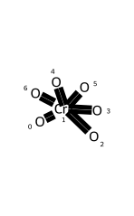 [O]=[Cr](=[O])(=[O])(=[O])(=[O])=[O]